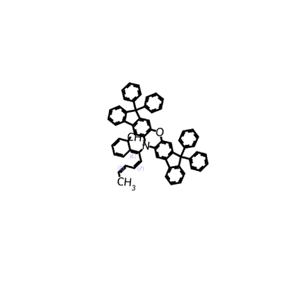 C\C=C/C=C\C(=C1/C=CC=CC1C)N1c2cc3c(cc2Oc2cc4c(cc21)-c1ccccc1C4(c1ccccc1)c1ccccc1)C(c1ccccc1)(c1ccccc1)c1ccccc1-3